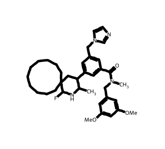 COc1cc(CN(C)C(=O)c2cc(Cn3ccnc3)cc(C3CC4(CCCCCCCCCC4)C(F)NC3C)c2)cc(OC)c1